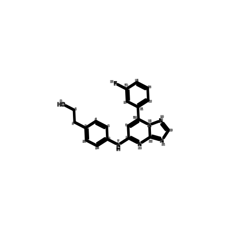 OCCc1ccc(Nc2cc(-c3cccc(F)c3)n3ncnc3n2)cc1